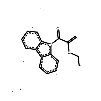 C=C(OCC)C(=O)n1c2ccccc2c2ccccc21